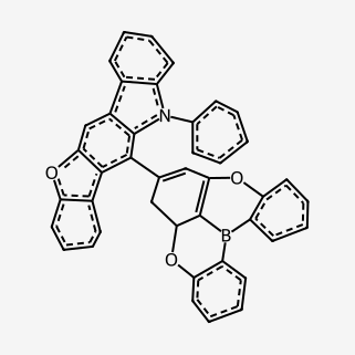 C1=C(c2c3c(cc4c5ccccc5n(-c5ccccc5)c24)oc2ccccc23)CC2Oc3ccccc3B3C2=C1Oc1ccccc13